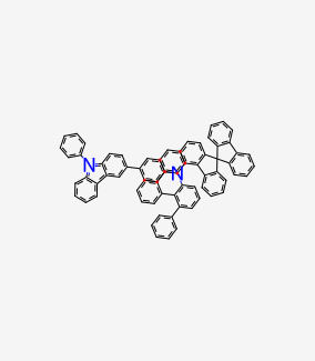 c1ccc(-c2ccccc2-c2c(-c3ccccc3)cccc2N(c2ccc(-c3ccc4c(c3)c3ccccc3n4-c3ccccc3)cc2)c2cccc3c2-c2ccccc2C32c3ccccc3-c3ccccc32)cc1